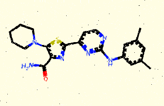 Cc1cc(C)cc(Nc2nccc(-c3nc(C(N)=O)c(N4CCCCC4)s3)n2)c1